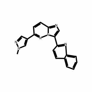 Cn1cc(-c2ccc3ncc(-c4ccc5c[c]ccc5n4)n3n2)cn1